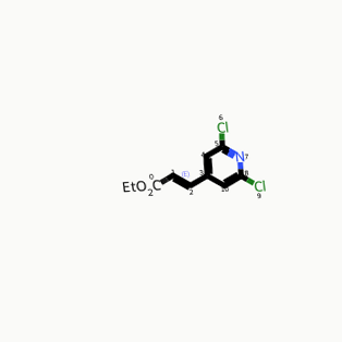 CCOC(=O)/C=C/c1cc(Cl)nc(Cl)c1